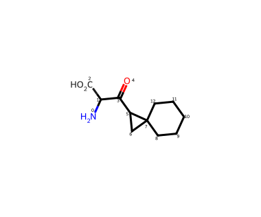 NC(C(=O)O)C(=O)C1CC12CCCCC2